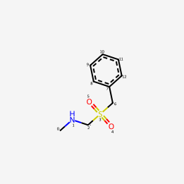 CN[CH]S(=O)(=O)Cc1ccccc1